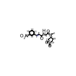 CN(C(=O)CNC(=O)/C=C/c1cccc([N+](=O)[O-])c1)C1CCS(=O)(=O)C1